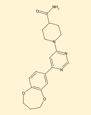 NC(=O)C1CCN(c2cc(-c3ccc4c(c3)OCCCO4)ncn2)CC1